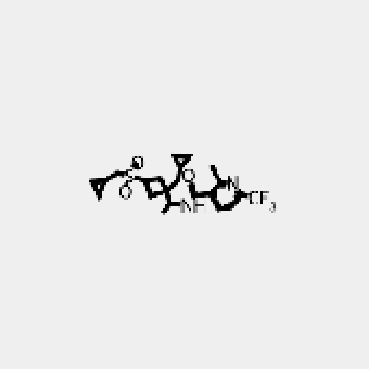 Cc1nc(C(F)(F)F)ccc1C(=O)NC(C)C1(CC2CC2)CC(S(=O)(=O)CC2CC2)C1